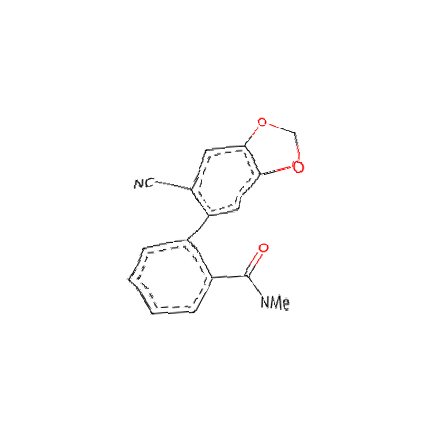 CNC(=O)c1ccccc1-c1cc2c(cc1C#N)OCO2